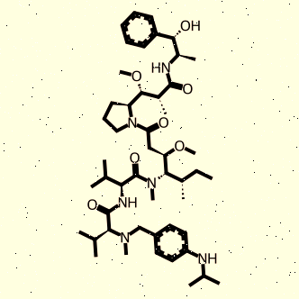 CC[C@H](C)[C@@H]([C@@H](CC(=O)N1CCC[C@H]1[C@H](OC)[C@@H](C)C(=O)N[C@H](C)[C@@H](O)c1ccccc1)OC)N(C)C(=O)[C@@H](NC(=O)[C@H](C(C)C)N(C)Cc1ccc(NC(C)C)cc1)C(C)C